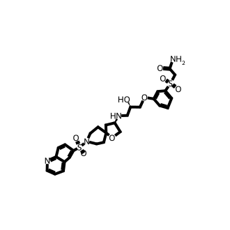 NC(=O)CS(=O)(=O)c1cccc(OC[C@@H](O)CN[C@H]2COC3(CCN(S(=O)(=O)c4ccc5ncccc5c4)CC3)C2)c1